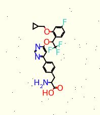 NC(Cc1ccc(-c2cc(OC(c3ccc(F)cc3OCC3CC3)C(F)(F)F)ncn2)cc1)C(=O)O